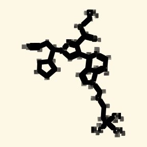 CCOC(=O)c1nn(C(CC#N)C2CCCC2)cc1-c1ncnc2c1ccn2COCC[Si](C)(C)C